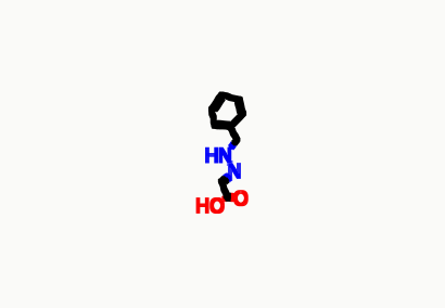 O=C(O)/C=N/NCc1ccccc1